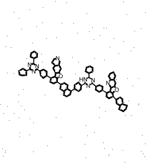 c1ccc(-c2nc(-c3ccccc3)nc(-c3ccc(-c4ccc(-c5ccc6c(-c7ccc(C8=NC(c9ccc(-c%10ccc(-c%11ccc%12ccccc%12c%11)c%11oc%12cc%13ccccc%13nc%12c%10%11)cc9)=NC(c9ccccc9)N8)cc7)cccc6c5)c5oc6cc7cnccc7cc6c45)cc3)n2)cc1